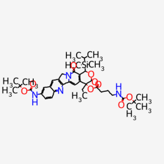 CCC1(OC(=O)CCCNC(=O)OC(C)(C)C)C(=O)OC([Si](C)(C)C(C)C)c2c1cc1n(c2=O)Cc2cc3cc(NC(=O)OC(C)(C)C)ccc3nc2-1